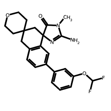 CN1C(=O)C2(CC3(CCOCC3)Cc3ccc(-c4cccc(OC(F)F)c4)cc32)N=C1N